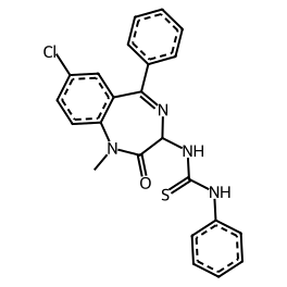 CN1C(=O)C(NC(=S)Nc2ccccc2)N=C(c2ccccc2)c2cc(Cl)ccc21